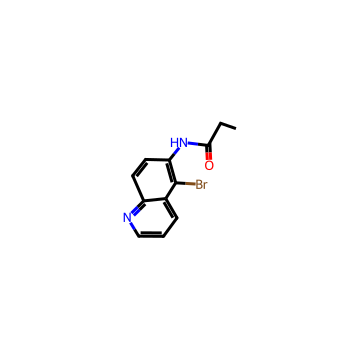 CCC(=O)Nc1ccc2ncccc2c1Br